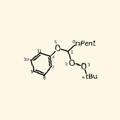 CCCCCC(OOC(C)(C)C)Oc1ccccc1